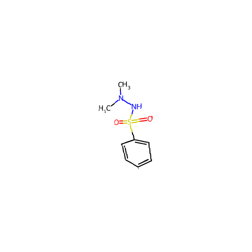 CN(C)NS(=O)(=O)c1cc[c]cc1